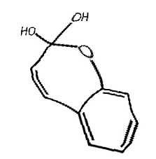 OC1(O)C=Cc2ccccc2O1